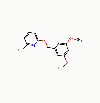 COc1cc(COc2cccc(C)n2)cc(OC)c1